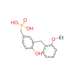 CCOc1ccccc1Cc1cc(CP(=O)(O)O)ccc1O